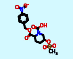 CS(=O)(=O)OC1CCC(C(=O)OCc2ccc([N+](=O)[O-])cc2)N(C(=O)O)C1